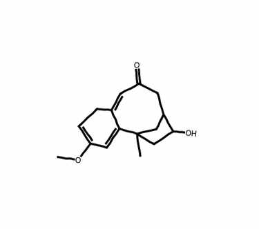 COC1=CC/C2=C/C(=O)CC3CC(C)(CC3O)C2=C1